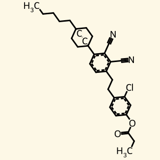 CCCCCC12CCC(c3ccc(CCc4ccc(OC(=O)CC)cc4Cl)c(C#N)c3C#N)(CC1)CC2